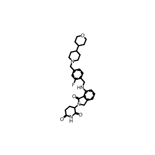 O=C1CCC(N2Cc3cccc(NCc4ccc(CN5CCC(C6CCOCC6)CC5)cc4F)c3C2=O)C(=O)N1